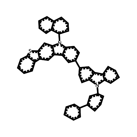 c1ccc(-c2cccc(-n3c4ccccc4c4cc(-c5ccc6c(c5)c5cc7c(cc5n6-c5cccc6ccccc56)sc5ccccc57)ccc43)c2)cc1